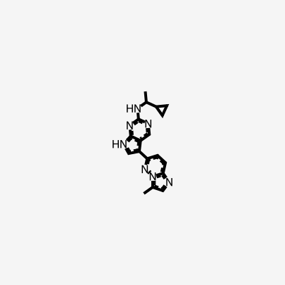 Cc1cnc2ccc(-c3c[nH]c4nc(NC(C)C5CC5)ncc34)nn12